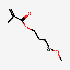 C=C(C)C(=O)OCC[CH2][Zr][O]C